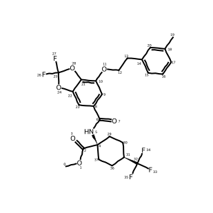 COC(=O)[C@]1(NC(=O)c2cc(OCCc3cccc(C)c3)c3c(c2)OC(F)(F)O3)CC[C@@H](C(F)(F)F)CC1